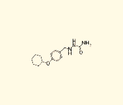 NC(=O)NNCc1ccc(OC2CCCCC2)cc1